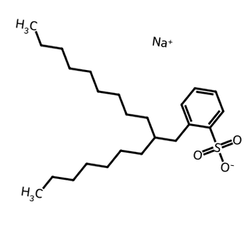 CCCCCCCCCC(CCCCCCC)Cc1ccccc1S(=O)(=O)[O-].[Na+]